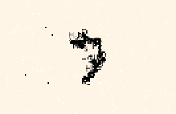 Cc1ncsc1-c1ccc([C@H](C)NC(=O)[C@@H]2C[C@@H](O)CN2C(=O)[C@@H](NC(=O)CCCCc2cccc(OC[C@H](CCC(N)=O)NC(=O)[C@@H]3CCCN3C(=O)[C@@H](N)CC(C)C)c2F)C(C)(C)C)cc1